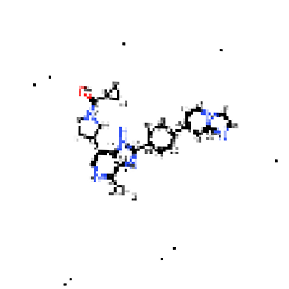 Cc1ncc(C2CCN(C(=O)C3CC3)C2)c2[nH]c(-c3ccc(-c4ccn5ccnc5c4)cc3)nc12